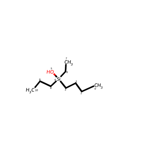 CCCC[Si](O)(CC)CCC